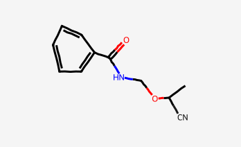 CC(C#N)OCNC(=O)c1ccccc1